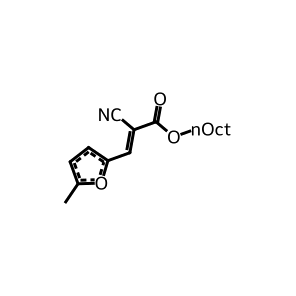 CCCCCCCCOC(=O)/C(C#N)=C/c1ccc(C)o1